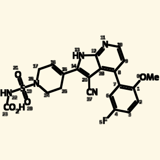 COc1ccc(F)cc1-c1ccnc2[nH]c(C3=CCN(S(=O)(=O)NC(=O)O)CC3)c(C#N)c12